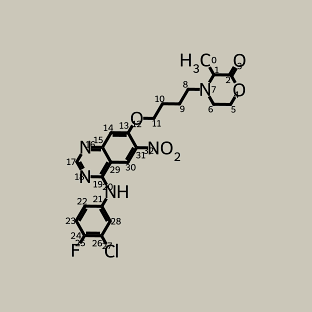 CC1C(=O)OCCN1CCCCOc1cc2ncnc(Nc3ccc(F)c(Cl)c3)c2cc1[N+](=O)[O-]